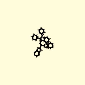 C(=C(c1nc2ccccc2s1)c1nc2ccccc2s1)c1c(-c2ccccc2)n(-c2ccccc2)c2ccccc12